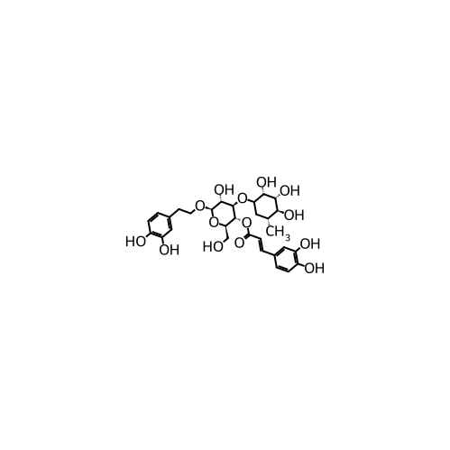 C[C@@H]1CC(O[C@@H]2[C@@H](O)[C@H](OCCc3ccc(O)c(O)c3)O[C@H](CO)[C@H]2OC(=O)/C=C/c2ccc(O)c(O)c2)[C@H](O)[C@H](O)[C@H]1O